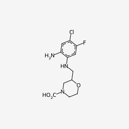 Nc1cc(Cl)c(F)cc1NCC1CN(C(=O)O)CCO1